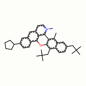 Cc1c2c(c(CC(C)(C)C)c3ccc(CC(C)(C)C)cc13)Oc1c3ccc(C4CCCC4)cc3cc3cc[n+](C)c-2c13